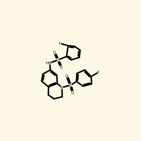 O=S(=O)(Nc1ccc2c(c1)N(S(=O)(=O)c1ccc(F)cc1)CCC2)c1ccccc1F